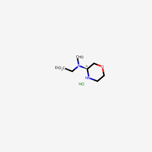 CCOC(=O)CN(C=O)[C@H]1COCCN1.Cl